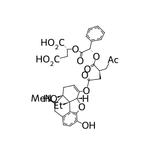 CC[C@]12c3c4ccc(O)c3O[C@H]1C(OC(=O)C[C@H](CC(C)=O)C(=O)O[C@H](C(=O)O[C@H](CC(=O)O)C(=O)O)c1ccccc1)=CC[C@@]2(O)[C@H](NC)C4